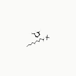 CCCCCCCCC(=O)OC(C)(C)C.Fc1cccc(Cl)n1